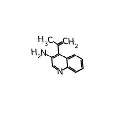 C=C(C)c1c(N)cnc2ccccc12